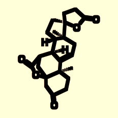 C[C@]12CC=C3[C@@H](C4CC5(CC(=O)CC[C@]35C)OC4=O)[C@@H]1CC[C@@]21CCC(=O)O1